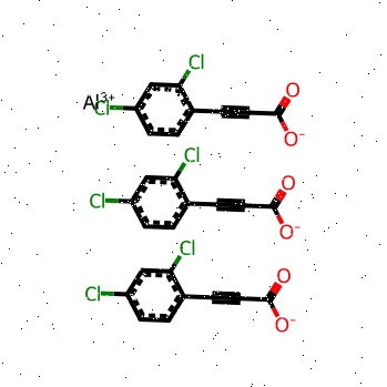 O=C([O-])C#Cc1ccc(Cl)cc1Cl.O=C([O-])C#Cc1ccc(Cl)cc1Cl.O=C([O-])C#Cc1ccc(Cl)cc1Cl.[Al+3]